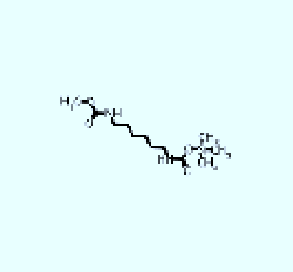 COC(=O)NCCCCCCNC(=O)O[Si](C)(C)C